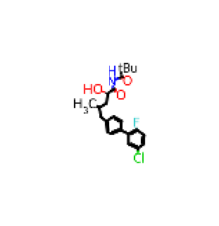 CC(Cc1ccc(-c2cc(Cl)ccc2F)cc1)C[C@@H](O)C(=O)NC(=O)C(C)(C)C